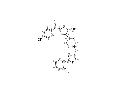 O=C(c1ccc(Cl)cc1)N1C[C@H](O)[C@@H](N2CCN(Cc3ccc(-c4ccccc4Cl)o3)CC2)C1